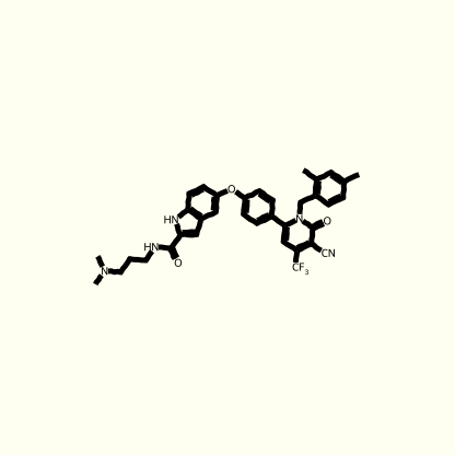 Cc1ccc(Cn2c(-c3ccc(Oc4ccc5[nH]c(C(=O)NCCCN(C)C)cc5c4)cc3)cc(C(F)(F)F)c(C#N)c2=O)c(C)c1